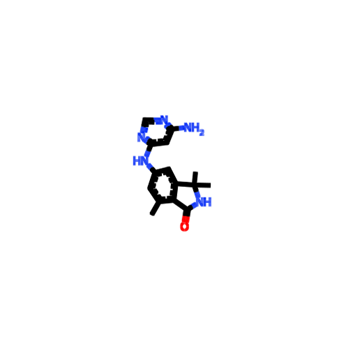 Cc1cc(Nc2cc(N)ncn2)cc2c1C(=O)NC2(C)C